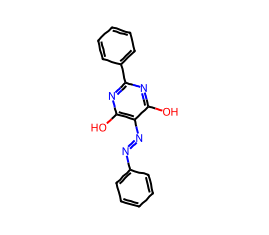 Oc1nc(-c2ccccc2)nc(O)c1/N=N/c1ccccc1